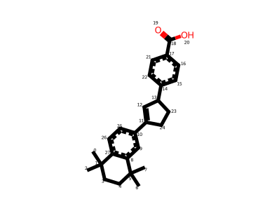 CC1(C)CCC(C)(C)c2cc(C3=CC(c4ccc(C(=O)O)cc4)CC3)ccc21